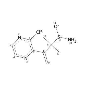 C=C(c1nccnc1Cl)C(C)(C)[S+](N)[O-]